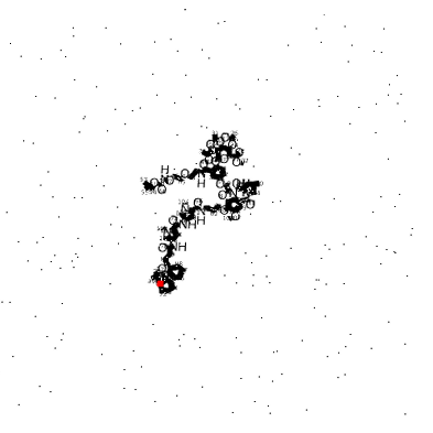 C=C1C[C@H]2C(O)N(C(=O)COc3ccc(O[C@@H]4O[C@H](C(=O)OC)[C@@H](OC(C)=O)[C@H](OC(C)=O)[C@H]4OC(C)=O)c(C(=O)NCCOCCONC(=O)OC(C)(C)C)c3)c3cc(OCCCNC(=O)c4cc(NC(=O)c5cc(NC(=O)CCCO[Si](c6ccccc6)(c6ccccc6)C(C)(C)C)cn5C)cn4C)c(OC)cc3C(=O)N2C1